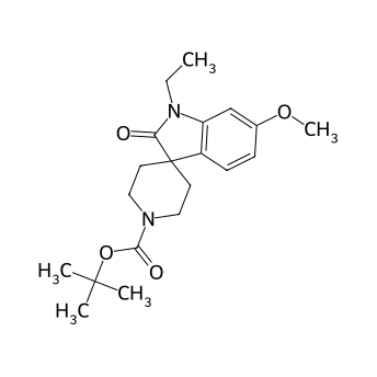 CCN1C(=O)C2(CCN(C(=O)OC(C)(C)C)CC2)c2ccc(OC)cc21